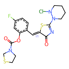 O=C1N=C(N2CCCCN2Cl)S/C1=C\c1ccc(F)cc1OC(=O)N1CCSC1